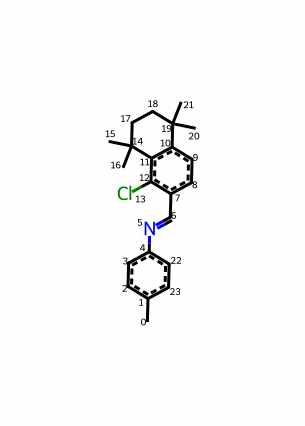 Cc1ccc(N=Cc2ccc3c(c2Cl)C(C)(C)CCC3(C)C)cc1